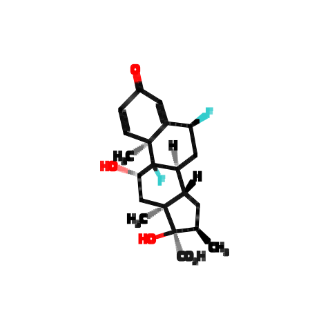 C[C@@H]1C[C@H]2[C@@H]3C[C@H](F)C4=CC(=O)C=C[C@]4(C)C3(F)[C@@H](O)C[C@]2(C)[C@@]1(O)C(=O)O